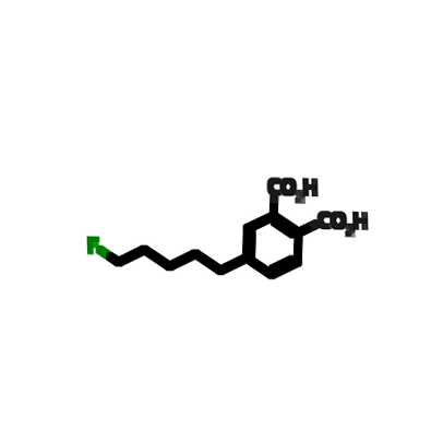 O=C(O)c1ccc(CCCCCF)cc1C(=O)O